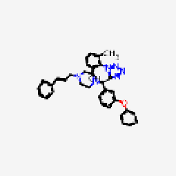 Cc1cccc(C)c1-n1nnnc1[C@@H](c1cccc(Oc2ccccc2)c1)N1CCN(C/C=C/c2ccccc2)CC1